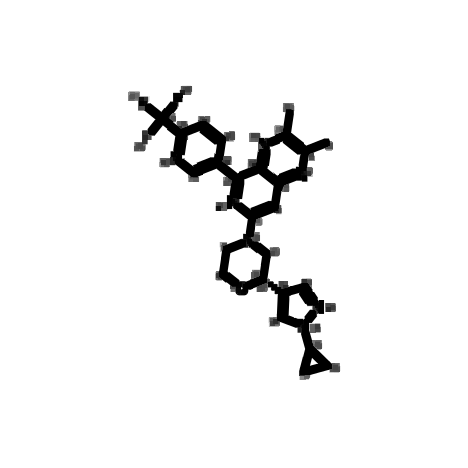 Cc1nc2cc(N3CCO[C@@H](c4cnn(C5CC5)c4)C3)nc(-c3ccc(C(F)(F)F)nc3)c2nc1C